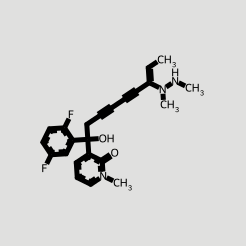 C/C=C(/C#CC#CCC(O)(c1cc(F)ccc1F)c1cccn(C)c1=O)N(C)NC